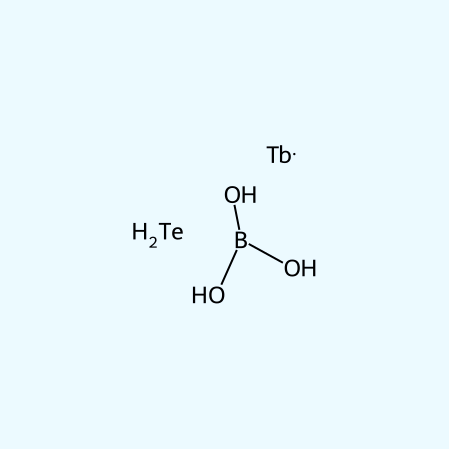 OB(O)O.[Tb].[TeH2]